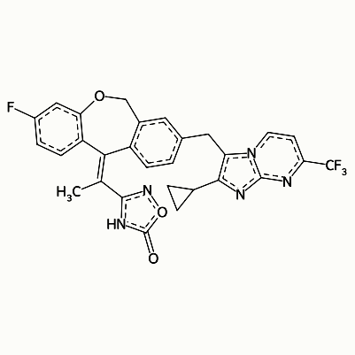 CC(=C1c2ccc(Cc3c(C4CC4)nc4nc(C(F)(F)F)ccn34)cc2COc2cc(F)ccc21)c1noc(=O)[nH]1